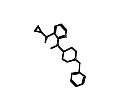 CN(c1cccnc1N(C)C1CCN(Cc2ccccc2)CC1)C1CC1